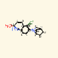 OC1C=Cc2c(ccc(N3CC4CCC3C4)c2Cl)N1